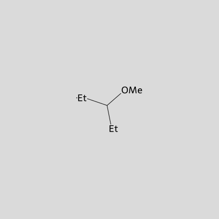 C[CH]C(CC)OC